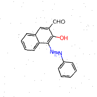 O=Cc1cc2ccccc2c(/N=N/c2ccccc2)c1O